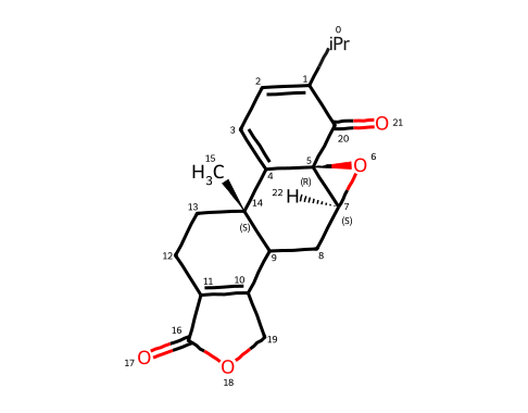 CC(C)C1=CC=C2[C@]3(O[C@H]3CC3C4=C(CC[C@]23C)C(=O)OC4)C1=O